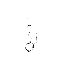 COC(=O)CCCC1c2ccccc2CC1N